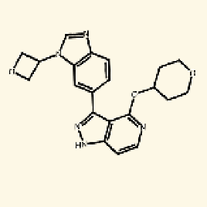 c1cc2[nH]nc(-c3ccc4ncn(C5COC5)c4c3)c2c(OC2CCOCC2)n1